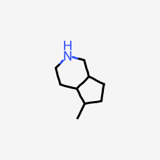 CC1CCC2CNCCC12